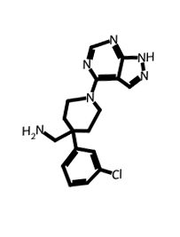 NCC1(c2cccc(Cl)c2)CCN(c2ncnc3[nH]ncc23)CC1